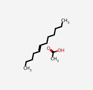 CC(=O)O.CCCCC=CCCCCCC